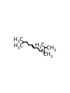 CC(C)CC/C=C/CCN(C)C(C)C